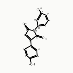 O=C1C=C(c2ccc(O)cc2)C(=O)N1c1cccc(Cl)c1